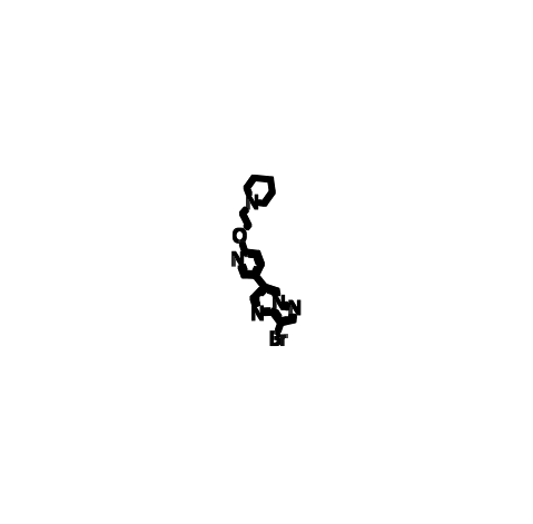 Brc1cnn2cc(-c3ccc(OCCN4CCCCC4)nc3)cnc12